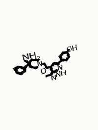 Cc1n[nH]c2nc(-c3ccc(O)cc3)cc(C(=O)CN3CCC(CN)(c4ccccc4)CC3)c12